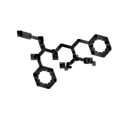 CN(C)C(CN/C(=N/C#N)Nc1ccccc1)Cc1ccccc1